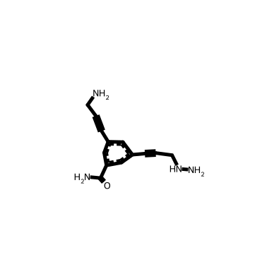 NCC#Cc1cc(C#CCNN)cc(C(N)=O)c1